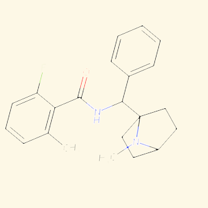 Cc1cccc(F)c1C(=O)NC(c1ccccc1)C12CCC(CC1)N2C